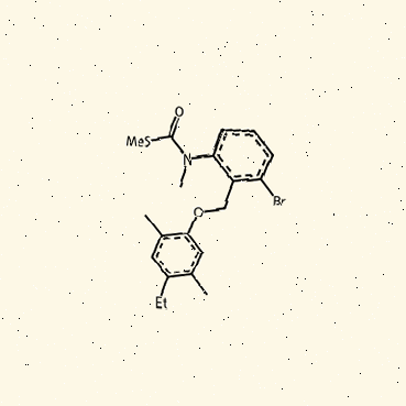 CCc1cc(C)c(OCc2c(Br)cccc2N(C)C(=O)SC)cc1C